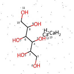 OCC(O)C(O)C(O)C(O)CO.[CaH2].[CaH2]